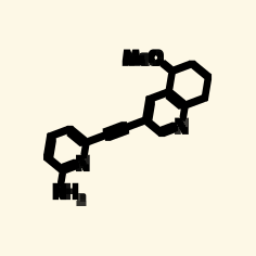 COC1CCCc2ncc(C#Cc3cccc(N)n3)cc21